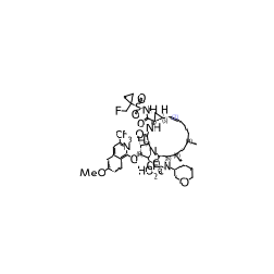 COc1ccc2c(O[C@@H]3C[C@H]4C(=O)N[C@]5(C(=O)NS(=O)(=O)C6(CF)CC6)C[C@H]5/C=C\CC[C@@H](C)C[C@@H](C)[C@H](N(C(=O)O)C5CCCOC5)C(=O)N4C3C(F)(F)F)nc(C(F)(F)F)cc2c1